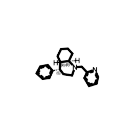 c1ccc([C@H]2CCN(Cc3ccccn3)[C@@H]3CCCC[C@H]23)cc1